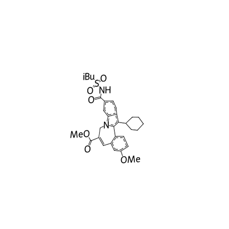 CCC(C)S(=O)(=O)NC(=O)c1ccc2c(C3CCCCC3)c3n(c2c1)CC(C(=O)OC)=Cc1cc(OC)ccc1-3